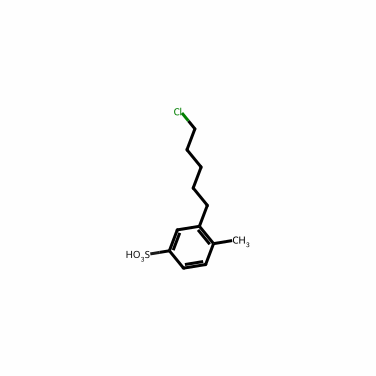 Cc1ccc(S(=O)(=O)O)cc1CCCCCCl